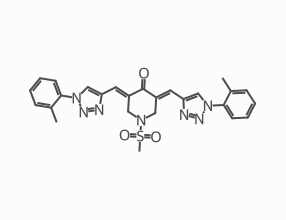 Cc1ccccc1-n1cc(C=C2CN(S(C)(=O)=O)CC(=Cc3cn(-c4ccccc4C)nn3)C2=O)nn1